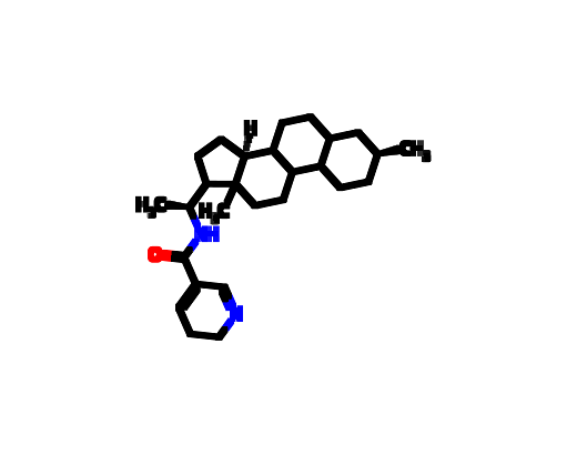 C[C@H]1CCC2C(CCC3C2CCC2(C)C([C@H](C)NC(=O)C4=CCCN=C4)CC[C@@H]32)C1